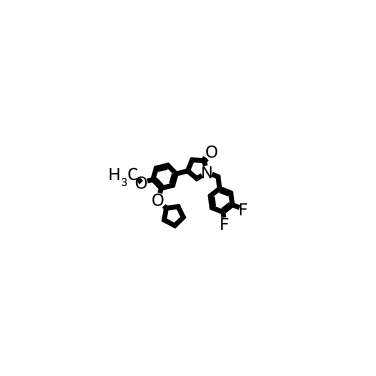 COc1ccc(C2CC(=O)N(Cc3ccc(F)c(F)c3)C2)cc1OC1CCCC1